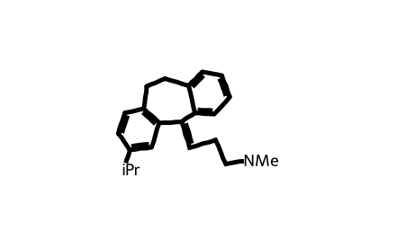 CNCC/C=C1\c2ccccc2CCc2ccc(C(C)C)cc21